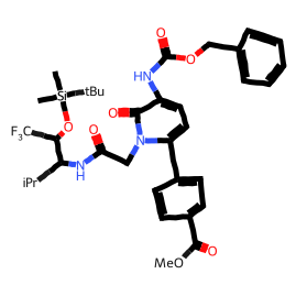 COC(=O)c1ccc(-c2ccc(NC(=O)OCc3ccccc3)c(=O)n2CC(=O)NC(C(C)C)C(O[Si](C)(C)C(C)(C)C)C(F)(F)F)cc1